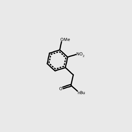 CCCCC(=O)Cc1cccc(OC)c1[N+](=O)[O-]